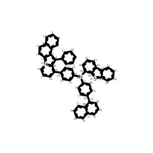 c1ccc(-c2c3c4ccccc4ccc3n3cccc(-c4ccc(N(c5ccc(-c6cccc7ccccc67)cc5)c5cccc6c5sc5ccccc56)cc4)c23)cc1